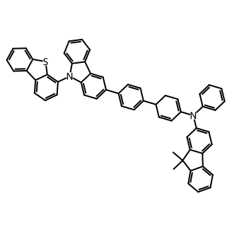 CC1(C)c2ccccc2-c2ccc(N(C3=CCC(c4ccc(-c5ccc6c(c5)c5ccccc5n6-c5cccc6c5sc5ccccc56)cc4)C=C3)c3ccccc3)cc21